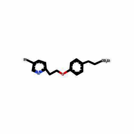 CCOC(=O)CCc1ccc(OCCc2ccc(CC)cn2)cc1